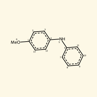 COc1ccc(Nc2ccccc2)cc1